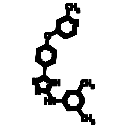 Cc1cc(C)cc(Nc2nnc(-c3ccc(Oc4ccnc(C)c4)cc3)[nH]2)c1